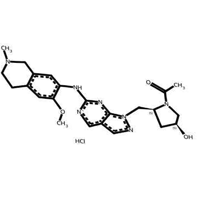 COc1cc2c(cc1Nc1ncc3cnn(C[C@@H]4C[C@H](O)CN4C(C)=O)c3n1)CN(C)CC2.Cl